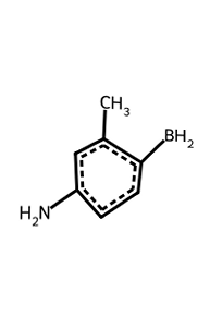 Bc1ccc(N)cc1C